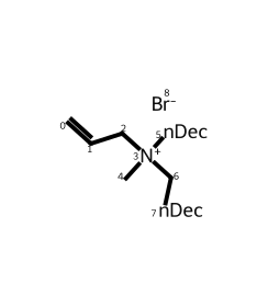 C=CC[N+](C)(CCCCCCCCCC)CCCCCCCCCCC.[Br-]